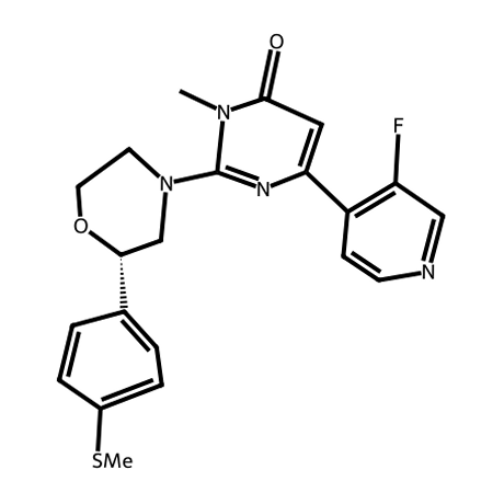 CSc1ccc([C@H]2CN(c3nc(-c4ccncc4F)cc(=O)n3C)CCO2)cc1